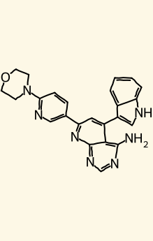 Nc1ncnc2nc(-c3ccc(N4CCOCC4)nc3)cc(-c3c[nH]c4ccccc34)c12